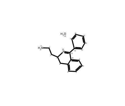 NCCC1Cc2ccccc2C(c2ccccc2)=N1.O